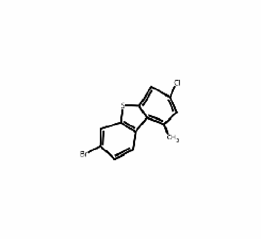 Cc1cc(Cl)cc2sc3cc(Br)ccc3c12